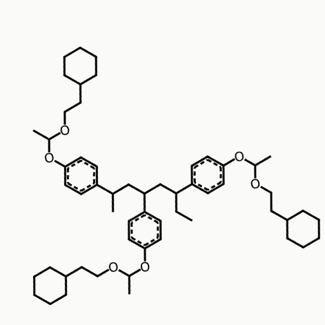 CCC(CC(CC(C)c1ccc(OC(C)OCCC2CCCCC2)cc1)c1ccc(OC(C)OCCC2CCCCC2)cc1)c1ccc(OC(C)OCCC2CCCCC2)cc1